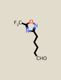 O=CCCCCc1noc(C(F)(F)F)n1